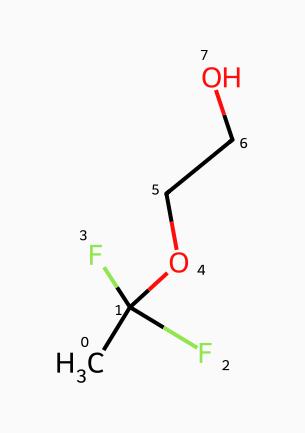 CC(F)(F)OCCO